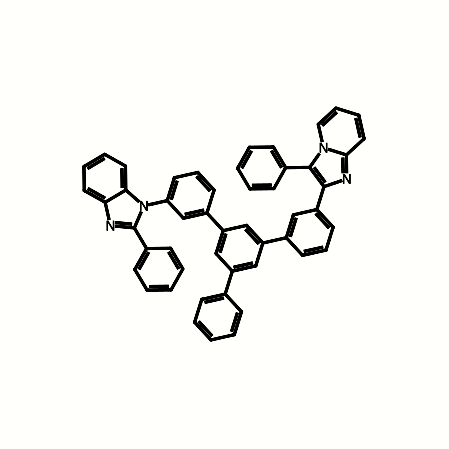 c1ccc(-c2cc(-c3cccc(-c4nc5ccccn5c4-c4ccccc4)c3)cc(-c3cccc(-n4c(-c5ccccc5)nc5ccccc54)c3)c2)cc1